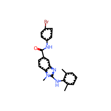 Cc1cccc(C)c1Nc1nc2cc(C(=O)Nc3ccc(Br)cc3)ccc2n1C